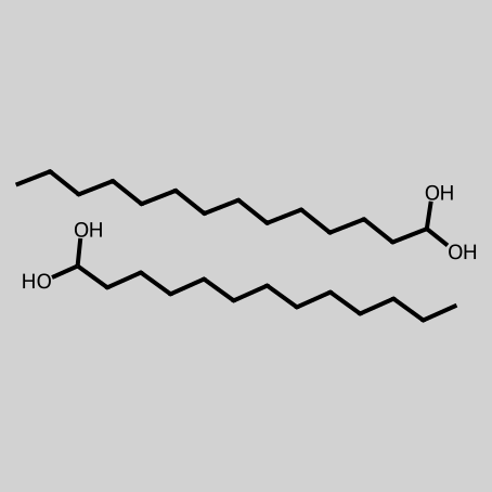 CCCCCCCCCCCCC(O)O.CCCCCCCCCCCCCC(O)O